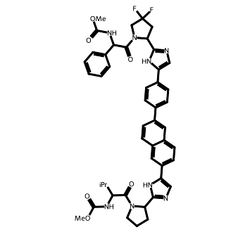 COC(=O)NC(C(=O)N1CC(F)(F)CC1c1ncc(-c2ccc(-c3ccc4cc(-c5cnc(C6CCCN6C(=O)C(NC(=O)OC)C(C)C)[nH]5)ccc4c3)cc2)[nH]1)c1ccccc1